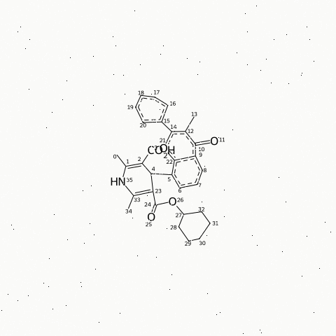 CC1=C(C(=O)O)C(c2cccc3c(=O)c(C)c(-c4ccccc4)oc23)C(C(=O)OC2CCCCC2)=C(C)N1